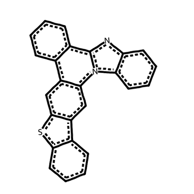 c1ccc2c(c1)nc1c3ccccc3c3cc4sc5ccccc5c4cc3n21